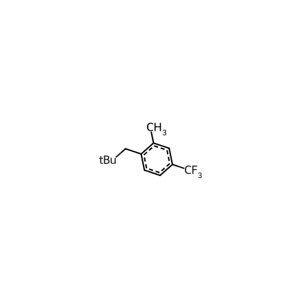 Cc1cc(C(F)(F)F)ccc1CC(C)(C)C